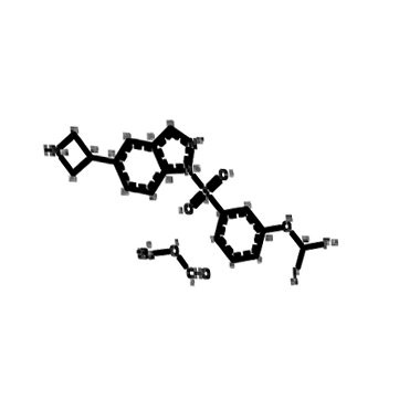 CC(C)(C)OC=O.O=S(=O)(c1cccc(OC(F)F)c1)n1ncc2cc(C3CNC3)ccc21